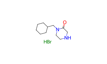 Br.O=C1CNCCN1CC1CCCCC1